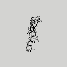 CC(=O)[C@H]1CC[C@H]2[C@@H]3CC[C@H]4C[C@](C)(OC(=O)CN5CCOCC5)CC[C@]4(C)[C@H]3CC[C@]12C